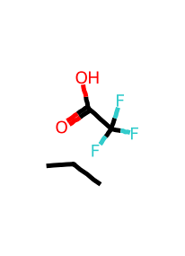 CCC.O=C(O)C(F)(F)F